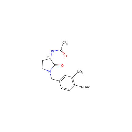 CC(=O)Nc1ccc(CN2CC[C@H](NC(=O)C(F)(F)F)C2=O)cc1[N+](=O)[O-]